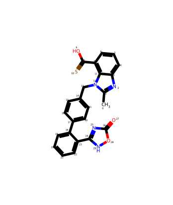 Cc1nc2cccc(C(O)=S)c2n1Cc1ccc(-c2ccccc2-c2nc(=O)o[nH]2)cc1